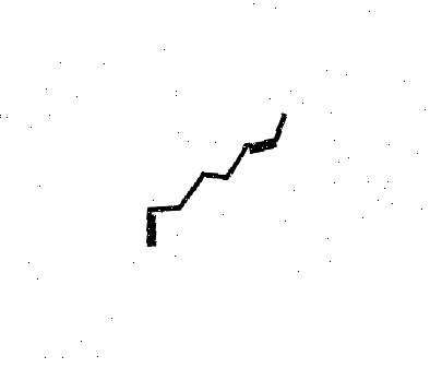 C=[C]CCC/C=C/C